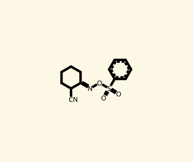 N#CC1CCCCC1=NOS(=O)(=O)c1ccccc1